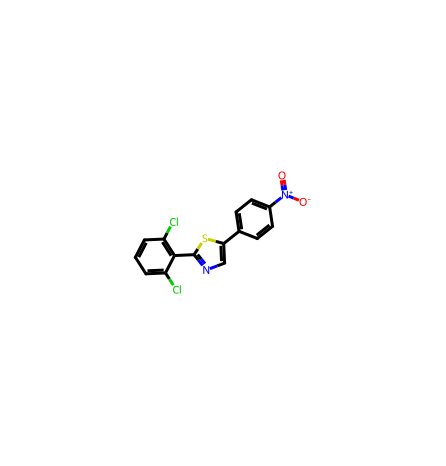 O=[N+]([O-])c1ccc(-c2cnc(-c3c(Cl)cccc3Cl)s2)cc1